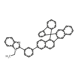 CCn1c(-c2cccc(-c3ccc4c5c(ccc4c3)-c3cc4ccccc4cc3C53c4ccccc4-c4ccccc43)c2)nc2ccccc21